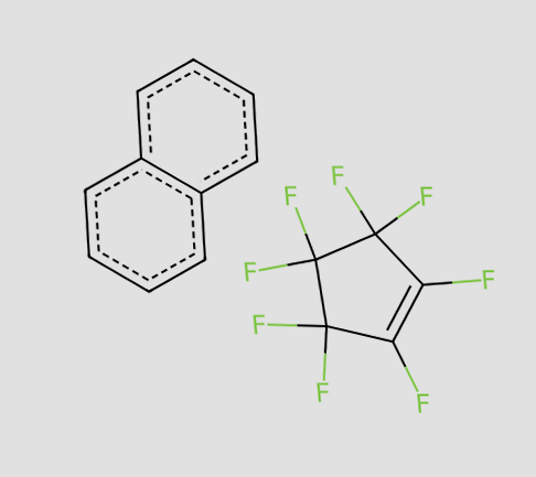 FC1=C(F)C(F)(F)C(F)(F)C1(F)F.c1ccc2ccccc2c1